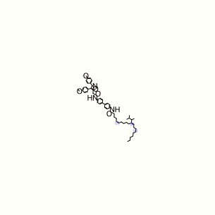 CCCCC/C=C\C/C=C(\CCCC/C=C\CCCC(=O)Nc1ccc(-c2ccc(NC(=O)Cc3onc(-c4ccc(OC)cc4)c3-c3ccc(OC)cc3)cc2)cc1)C(C)C(C)C